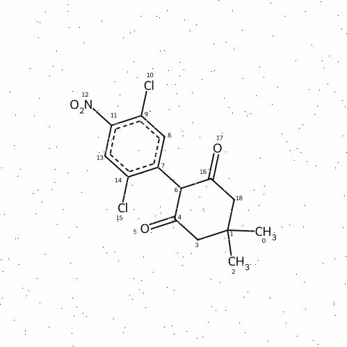 CC1(C)CC(=O)C(c2cc(Cl)c([N+](=O)[O-])cc2Cl)C(=O)C1